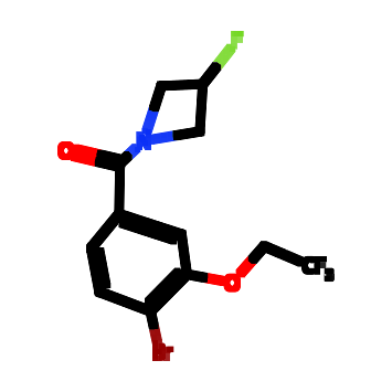 O=C(c1ccc(Br)c(OCC(F)(F)F)c1)N1CC(F)C1